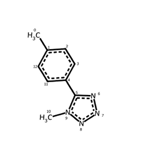 Cc1ccc(-c2nnnn2C)cc1